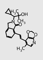 Cc1cnc2c(c1C=Cc1cccc3c1C(=O)N(C(C1CC1)C(C)(C)O)C3)OCO2